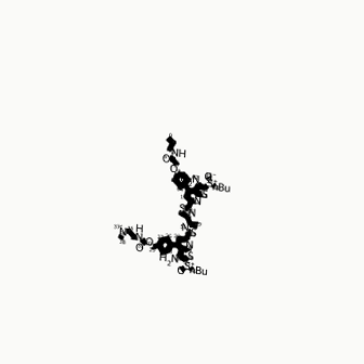 C=CCNC(=O)COc1ccc(-c2cc(-c3nc(-c4csc(-c5cc(-c6ccc(COC(=O)NCCN(C)C)cc6)c6c(N)c([S+]([O-])CCCC)sc6n5)n4)cs3)nc3sc([S+]([O-])CCCC)c(N)c23)cc1